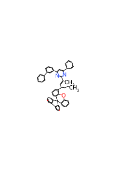 C=C/C=C(\C=C(/C)c1nc(-c2ccccc2)cc(-c2cccc(-c3ccccc3)c2)n1)c1cccc2c1Oc1ccccc1C21c2ccccc2-c2ccccc21